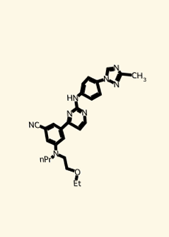 CCCN(CCOCC)c1cc(C#N)cc(-c2ccnc(Nc3ccc(-n4cnc(C)n4)cc3)n2)c1